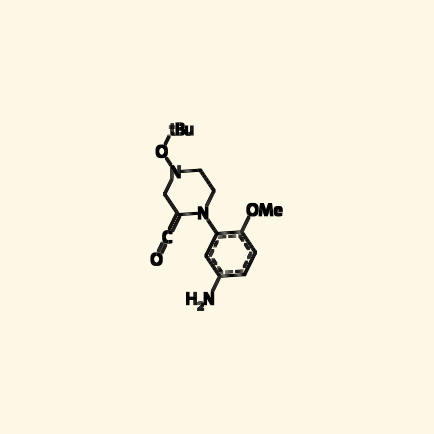 COc1ccc(N)cc1N1CCN(OC(C)(C)C)CC1=C=O